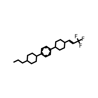 CCCC1CCC(c2ccc(C3CCC(C=CC(F)(F)F)CC3)cc2)CC1